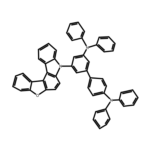 c1ccc(N(c2ccccc2)c2ccc(-c3cc(N(c4ccccc4)c4ccccc4)cc(-n4c5ccccc5c5c6c(ccc54)oc4ccccc46)c3)cc2)cc1